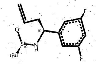 C=CC[C@H](N[S@+]([O-])C(C)(C)C)c1cc(F)cc(F)c1